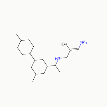 CCCC/C(=C\N)CNC(C)C1CC(C)CC(C2CCC(C)CC2)C1